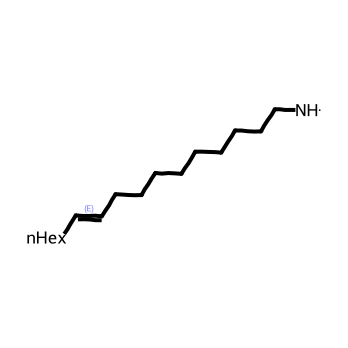 CCCCCC/C=C/CCCCCCCCC[NH]